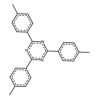 Cc1ccc(-c2nc(-c3ccc(C)cc3)nc(-c3ccc(C)cc3)n2)cc1